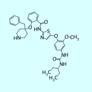 CCC(CC)NC(=O)Nc1ccc(Oc2cnc(NC(=O)c3ccccc3OC3(Cc4ccccc4)CCNCC3)s2)c(OC)c1